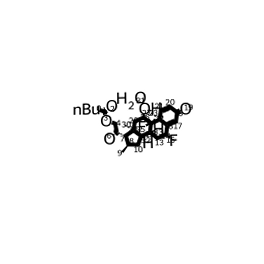 CCCCC(=O)OCC(=O)[C@H]1[C@H](C)C[C@H]2[C@@H]3C[C@H](F)C4=CC(=O)C=C[C@]4(C)[C@@]3(F)[C@@H](O)C[C@@]21C.O